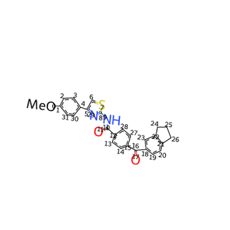 COc1ccc(-c2csc(NC(=O)c3ccc(C(=O)c4ccc5c(c4)CCC5)cc3)n2)cc1